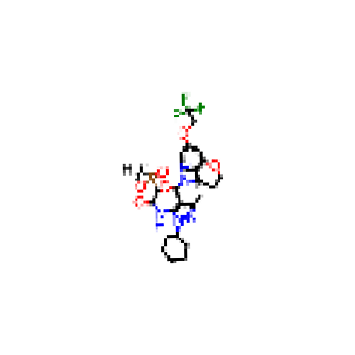 CS(=O)(=O)CC(=O)Nc1c2c(nn1C1CCCCC1)C[C@]1(CCOc3cc(OCC(F)(F)F)ccc31)NC2=O